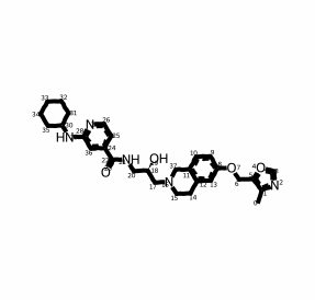 Cc1ncoc1COc1ccc2c(c1)CCN(C[C@@H](O)CNC(=O)c1ccnc(NC3CCCCC3)c1)C2